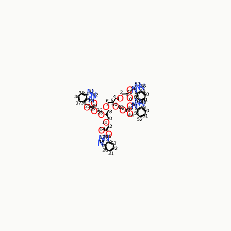 O=C(COCC(COCC(COCC(=O)On1nnc2ccccc21)OCOC(=O)On1nnc2ccccc21)OCOC(=O)On1nnc2ccccc21)On1nnc2ccccc21